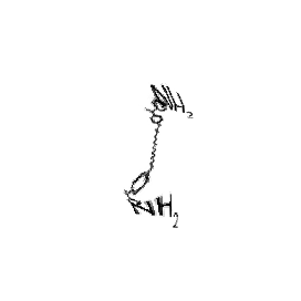 CC(c1ccc(N)cc1)c1ccc(CCCCCCCCCCCCCCCc2ccc(C(C)c3ccc(N)cc3)cc2)cc1